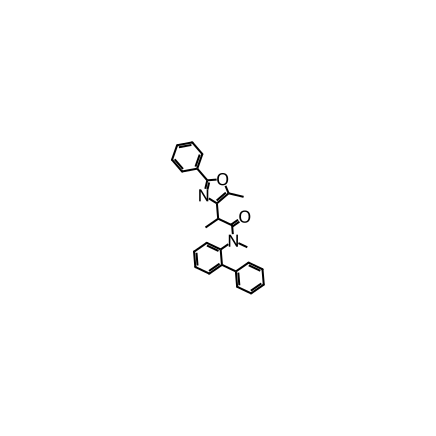 Cc1oc(-c2ccccc2)nc1C(C)C(=O)N(C)c1ccccc1-c1ccccc1